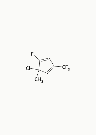 CC1(Cl)C=C(C(F)(F)F)C=C1F